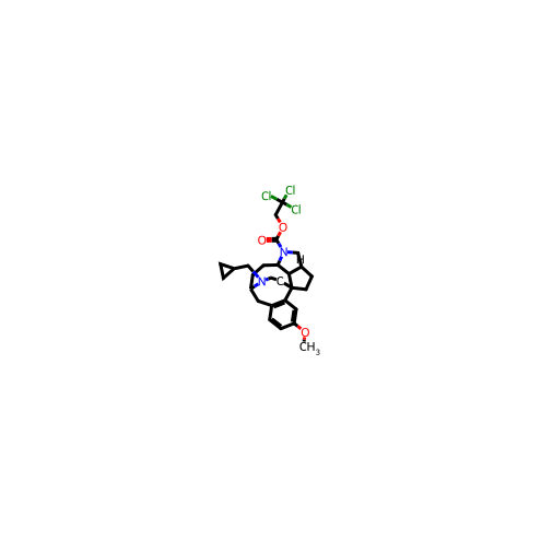 COc1ccc2c(c1)C13CC[C@@H]4CN(C(=O)OCC(Cl)(Cl)Cl)C(CCC(C2)N(CC2CC2)CC1)C43